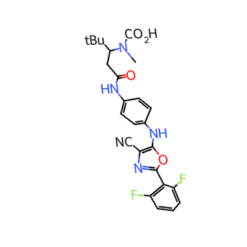 CN(C(=O)O)C(CC(=O)Nc1ccc(Nc2oc(-c3c(F)cccc3F)nc2C#N)cc1)C(C)(C)C